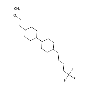 COCCC1CCC(C2CCC(CCCCC(F)(F)F)CC2)CC1